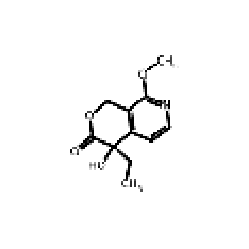 CCC1(O)C(=O)OCc2c1ccnc2OC